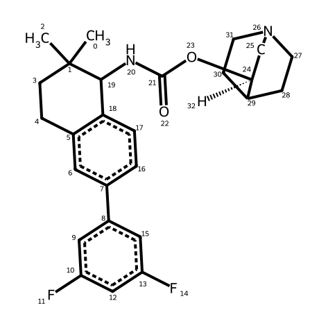 CC1(C)CCc2cc(-c3cc(F)cc(F)c3)ccc2C1NC(=O)O[C@H]1CN2CCC1CC2